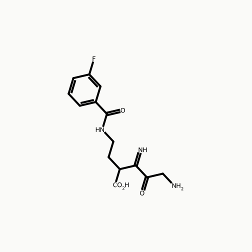 N=C(C(=O)CN)C(CCNC(=O)c1cccc(F)c1)C(=O)O